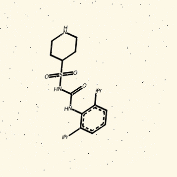 CC(C)c1cccc(C(C)C)c1NC(=O)NS(=O)(=O)C1CCNCC1